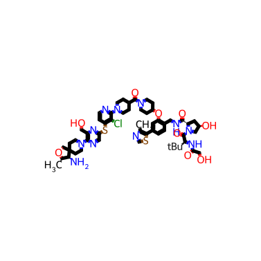 Cc1ncsc1-c1ccc(CNC(=O)[C@@H]2C[C@@H](O)CN2C(=O)[C@@H](NC(=O)CO)C(C)(C)C)c(OC2CCN(C(=O)C3CCN(c4nccc(Sc5cnc(N6CCC7(CC6)CO[C@@H](C)[C@H]7N)c(CO)n5)c4Cl)CC3)CC2)c1